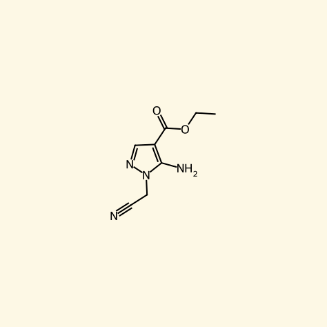 CCOC(=O)c1cnn(CC#N)c1N